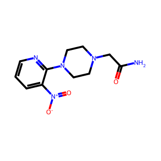 NC(=O)CN1CCN(c2ncccc2[N+](=O)[O-])CC1